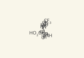 Cn1nc(OC(=O)C(F)(F)F)c(=O)nc1SCC1=C(OC(=O)O)N2C(=O)[C@H]3NCCC1[C@H]32